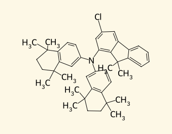 CC1(C)CCC(C)(C)c2cc(N(c3ccc4c(c3)C(C)(C)CCC4(C)C)c3cc(Cl)cc4c3C(C)(C)c3ccccc3-4)ccc21